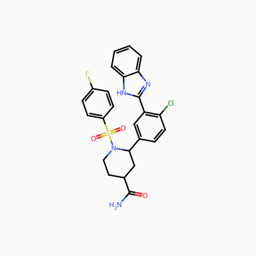 NC(=O)C1CCN(S(=O)(=O)c2ccc(F)cc2)C(c2ccc(Cl)c(-c3nc4ccccc4[nH]3)c2)C1